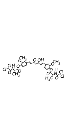 COc1cc(/C=C/C(=O)/C=C(O)/C=C/c2ccc(OC(=O)[C@H](C)NC(=O)C(Cl)Cl)c(OC)c2)ccc1OC(=O)[C@H](C)NC(=O)C(Cl)Cl